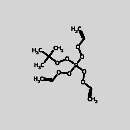 C=COO[Si](OOC=C)(OOC=C)OOC(C)(C)C